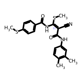 CS/C(NC(=O)c1ccc(SC)cc1)=C(\C#N)C(=O)Nc1ccc(C)c(C)c1